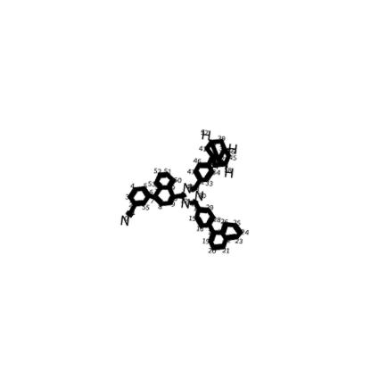 N#Cc1cccc(-c2ccc(-c3nc(-c4ccc(-c5cccc6ccccc56)cc4)nc(-c4ccc(C56C[C@H]7C[C@@H](C5)C[C@@H](C6)C7)cc4)n3)c3ccccc23)c1